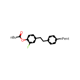 CCCCCc1ccc(CCc2ccc(OC(=O)CCCC)c(F)c2)cc1